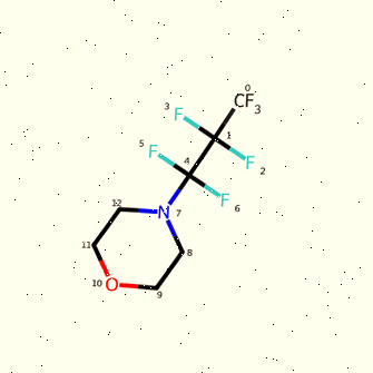 FC(F)(F)C(F)(F)C(F)(F)N1CCOCC1